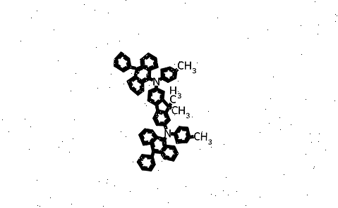 Cc1ccc(N(c2ccc3c(c2)C(C)(C)c2cc(N(c4ccc(C)cc4)c4c5ccccc5c(-c5ccccc5)c5ccccc45)ccc2-3)c2c3ccccc3c(-c3ccccc3)c3ccccc23)cc1